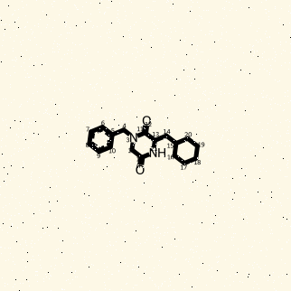 O=C1CN(Cc2ccccc2)C(=O)C(CC2CCCCC2)N1